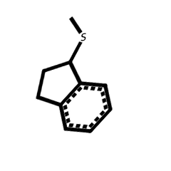 CSC1CCc2ccccc21